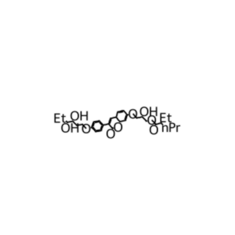 CCCC(CC)C(=O)OCC(O)COC1=CC2OC(=O)C(c3ccc(OCCC(O)C(O)CC)cc3)=CC2C=C1